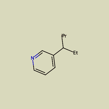 CCC(c1cccnc1)C(C)C